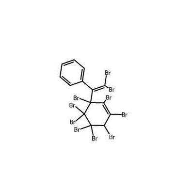 BrC(Br)=C(c1ccccc1)C1(Br)C(Br)=C(Br)C(Br)C(Br)(Br)C1(Br)Br